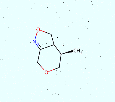 C[C@H]1COCC2=NOCC21